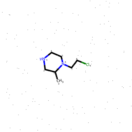 CC1CNCCN1CCCl